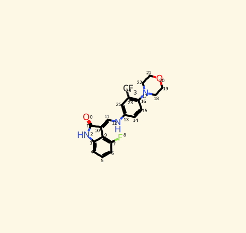 O=C1Nc2cccc(F)c2/C1=C\Nc1ccc(N2CCOCC2)c(C(F)(F)F)c1